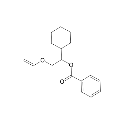 C=COCC(OC(=O)c1ccccc1)C1CCCCC1